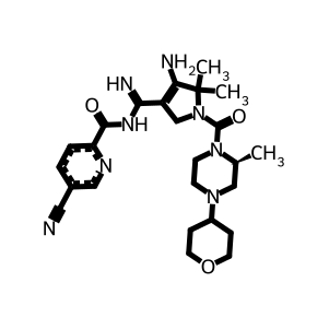 C[C@H]1CN(C2CCOCC2)CCN1C(=O)N1CC(C(=N)NC(=O)c2ccc(C#N)cn2)=C(N)C1(C)C